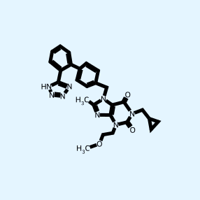 COCCn1c(=O)n(CC2CC2)c(=O)c2c1nc(C)n2Cc1ccc(-c2ccccc2-c2nnn[nH]2)cc1